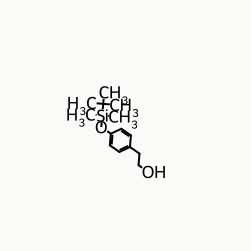 CC(C)(C)[Si](C)(C)Oc1ccc(CCO)cc1